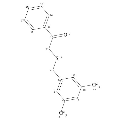 O=C(CSCc1cc(C(F)(F)F)cc(C(F)(F)F)c1)c1ccccc1